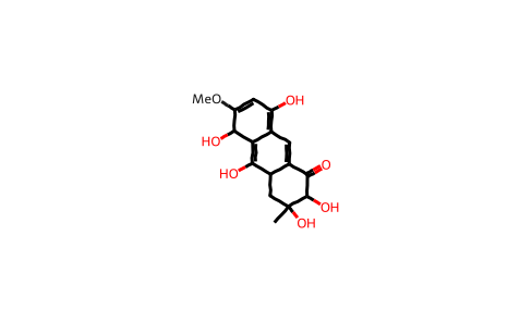 COC1=CC(O)=C2C=C3C(=O)C(O)C(C)(O)CC3C(O)=C2C1O